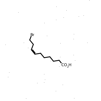 O=C(O)CCCCC/C=C\CCBr